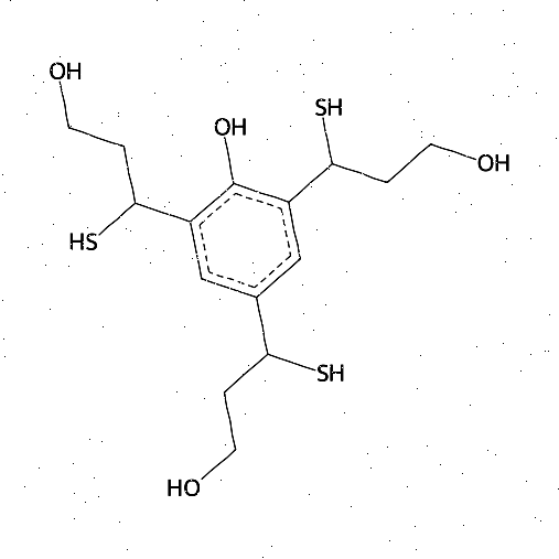 OCCC(S)c1cc(C(S)CCO)c(O)c(C(S)CCO)c1